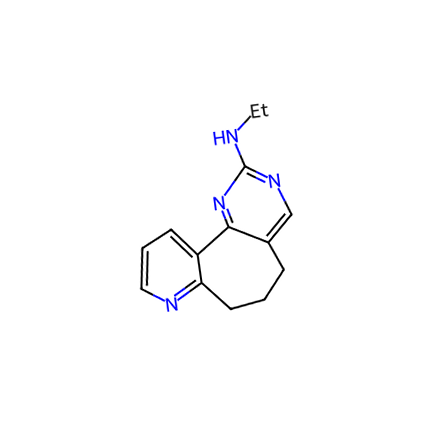 CCNc1ncc2c(n1)-c1cccnc1CCC2